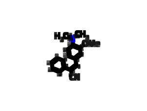 COc1cc(C=C(C#N)c2ccccc2)ccc1N(C)C